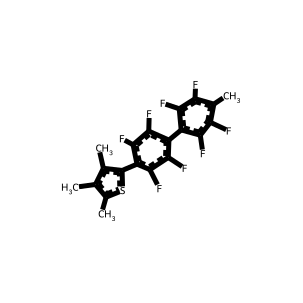 Cc1sc(-c2c(F)c(F)c(-c3c(F)c(F)c(C)c(F)c3F)c(F)c2F)c(C)c1C